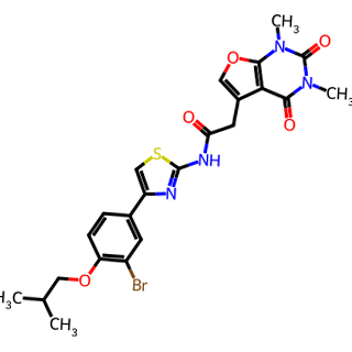 CC(C)COc1ccc(-c2csc(NC(=O)Cc3coc4c3c(=O)n(C)c(=O)n4C)n2)cc1Br